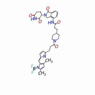 Cc1cc(C)n(B(F)F)c1/C=C1/C=CC(CCC(=O)N2CCC(CCC(=O)Nc3cccc4c3CN(C3CCC(=O)NC3=O)C4=O)CC2)=N1